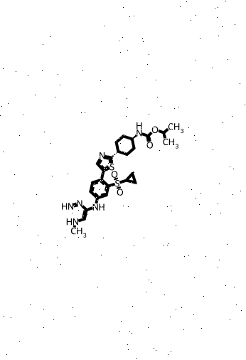 CN/C=C(\N=N)Nc1ccc(-c2cnc([C@H]3CC[C@H](NC(=O)OC(C)C)CC3)s2)c(S(=O)(=O)C2CC2)c1